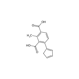 Cc1c(C(=O)O)ccc(C2=CC=CC2)c1C(=O)O